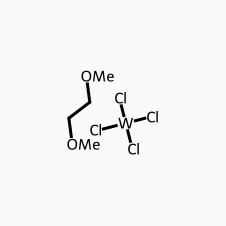 COCCOC.[Cl][W]([Cl])([Cl])[Cl]